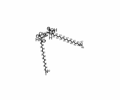 CN(C)CCCCCCCCCCCCCCCC(=O)NC(CSSCC(NC(=O)CCCCCCCCCCCCCCCN(C)C)C(=O)O)C(=O)O